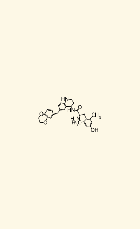 Cc1cc(O)cc(C)c1CC(N)C(=O)NC1CCNc2ccc(Cc3ccc4c(c3)OCCO4)cc21